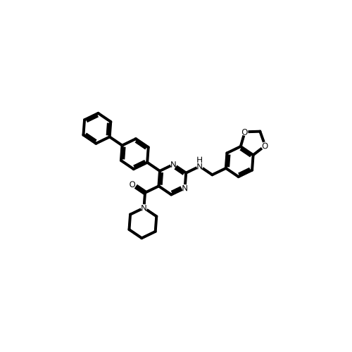 O=C(c1cnc(NCc2ccc3c(c2)OCO3)nc1-c1ccc(-c2ccccc2)cc1)N1CCCCC1